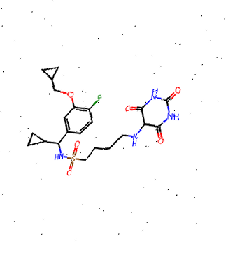 O=C1NC(=O)C(NCCCCS(=O)(=O)NC(c2ccc(F)c(OCC3CC3)c2)C2CC2)C(=O)N1